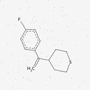 C=C(c1ccc(F)cc1)C1CCSCC1